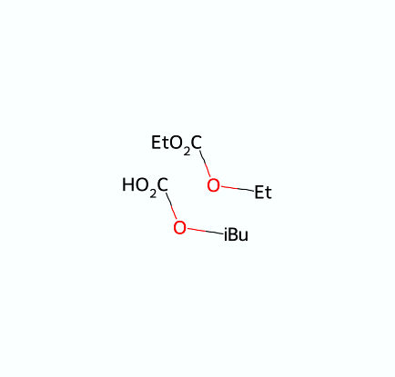 CCC(C)OC(=O)O.CCOC(=O)OCC